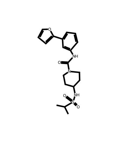 CC(C)S(=O)(=O)NC1CCN(C(=O)Nc2cccc(-c3ccco3)c2)CC1